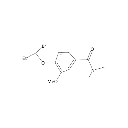 CCC(Br)Oc1ccc(C(=O)N(C)C)cc1OC